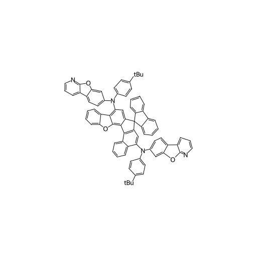 CC(C)(C)c1ccc(N(c2ccc3c(c2)oc2ncccc23)c2cc3c(c4ccccc24)-c2c(cc(N(c4ccc(C(C)(C)C)cc4)c4ccc5c(c4)oc4ncccc45)c4c2oc2ccccc24)C32c3ccccc3-c3ccccc32)cc1